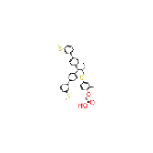 CCC(CSc1ccc(OCC(=O)O)c(C)c1)=C(c1ccc(-c2cccc(SC)c2)cc1)c1ccc(-c2cccc(SC)c2)cc1